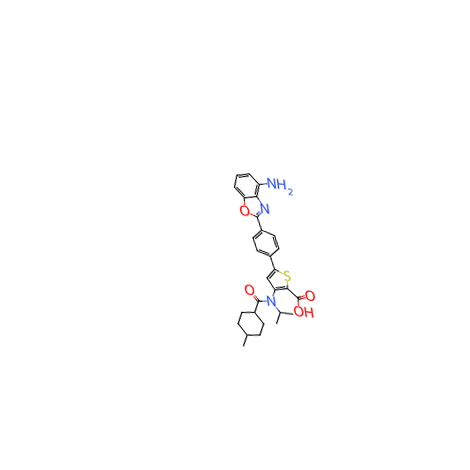 CC1CCC(C(=O)N(c2cc(-c3ccc(-c4nc5c(N)cccc5o4)cc3)sc2C(=O)O)C(C)C)CC1